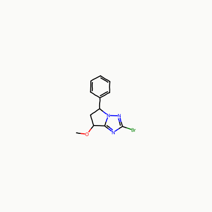 COC1CC(c2ccccc2)n2nc(Br)nc21